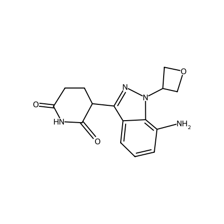 Nc1cccc2c(C3CCC(=O)NC3=O)nn(C3COC3)c12